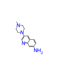 CN1CCN(c2cnc3cc(N)ccc3c2)CC1